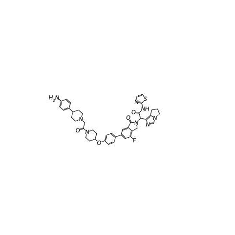 Nc1ccc(C2CCN(CC(=O)N3CCC(Oc4ccc(-c5cc(F)c6c(c5)C(=O)N(C(C(=O)Nc5nccs5)c5ncn7c5CCC7)C6)cc4)CC3)CC2)cc1